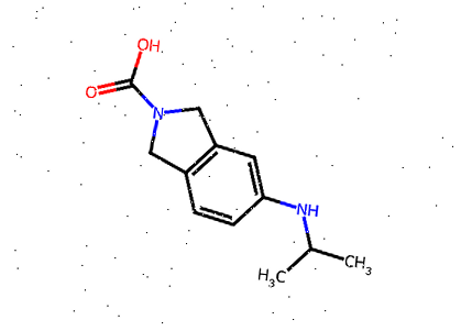 CC(C)Nc1ccc2c(c1)CN(C(=O)O)C2